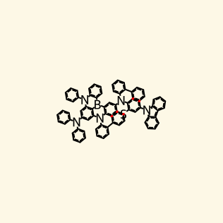 c1ccc(-c2ccccc2N2c3ccc(-n4c5ccccc5c5ccccc54)cc3Sc3cc4c(cc32)B2c3ccccc3N(c3ccccc3)c3cc(N(c5ccccc5)c5ccccc5)cc(c32)N4c2ccccc2-c2ccccc2)cc1